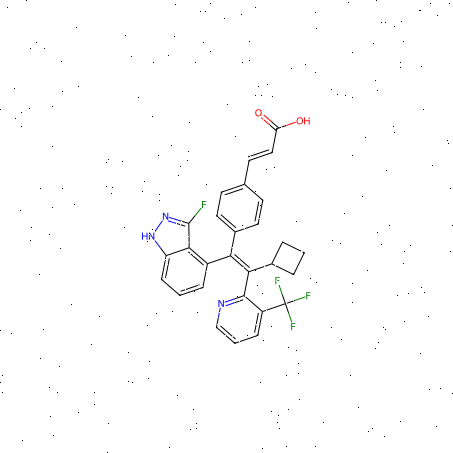 O=C(O)C=Cc1ccc(C(=C(c2ncccc2C(F)(F)F)C2CCC2)c2cccc3[nH]nc(F)c23)cc1